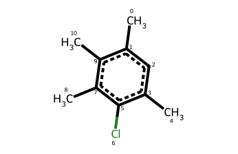 Cc1cc(C)c(Cl)c(C)c1C